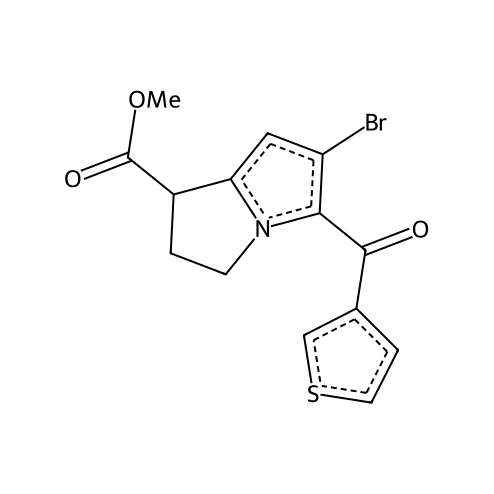 COC(=O)C1CCn2c1cc(Br)c2C(=O)c1ccsc1